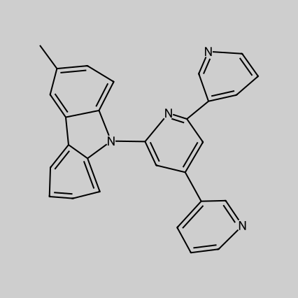 Cc1ccc2c(c1)c1ccccc1n2-c1cc(-c2cccnc2)cc(-c2cccnc2)n1